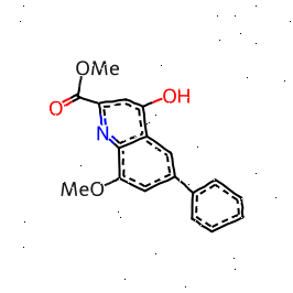 COC(=O)c1cc(O)c2cc(-c3ccccc3)cc(OC)c2n1